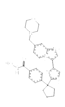 O=C(NO)c1ccc(C2(c3nc(-c4cnc5cc(CN6CCOCC6)ccn45)cs3)CCCC2)cc1